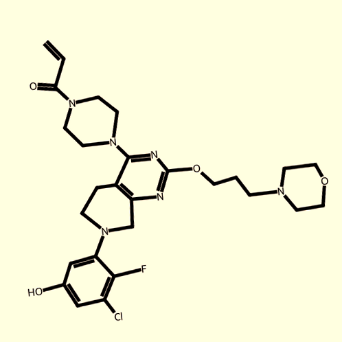 C=CC(=O)N1CCN(c2nc(OCCCN3CCOCC3)nc3c2CCN(c2cc(O)cc(Cl)c2F)C3)CC1